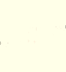 O=C(O)C=CCC(F)(F)C(F)(F)CC=CC(=O)O